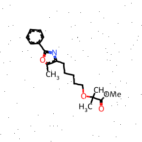 COC(=O)C(C)(C)OCCCCCc1nc(-c2ccccc2)oc1C